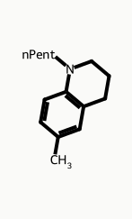 CCCCCN1CCCc2cc(C)ccc21